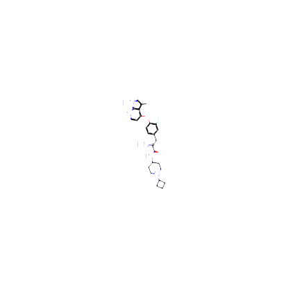 Cc1c[nH]c2nccc(Oc3ccc(C[C@H](N)C(=O)NC4CCN(C5CCC5)CC4)cc3F)c12